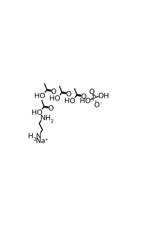 CC(=O)O.CC(=O)O.CC(=O)O.CC(=O)O.NCCN.O=P([O-])(O)O.[Na+]